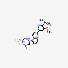 COc1cc(-c2ccc3c(ccc4sc5c(c43)NC[C@@H](C)NC5=O)n2)cnc1C(C)C